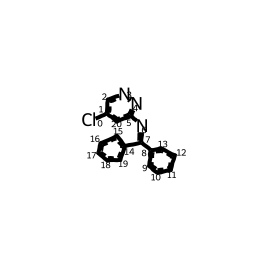 Clc1cnnc(N=C(c2ccccc2)c2ccccc2)c1